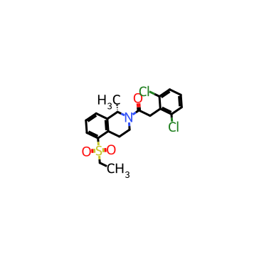 CCS(=O)(=O)c1cccc2c1CCN(C(=O)Cc1c(Cl)cccc1Cl)[C@H]2C